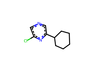 Clc1cncc(C2CCCCC2)n1